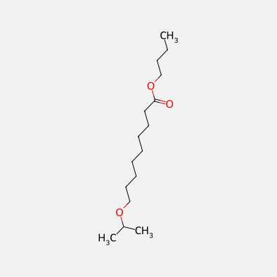 CCCCOC(=O)CCCCCCCCOC(C)C